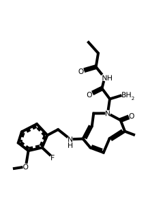 BC(C(=O)NC(=O)CC)N1C/C=C(NCc2cccc(OC)c2F)/C=C\C=C(/C)C1=O